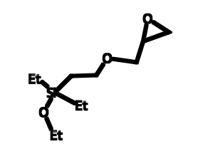 CCO[Si](CC)(CC)CCOCC1CO1